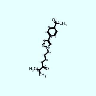 CC(=O)c1ccc(-c2cn(CCCCC(=O)C(C)C)nn2)cc1